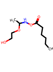 CCCCCC(=O)ONC(C)OCCO